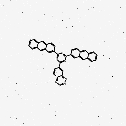 c1ccc2cc3cc(-c4nc(-c5ccc6cc7ccccc7cc6c5)nc(-c5ccc6nnnnc6c5)n4)ccc3cc2c1